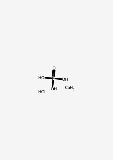 Cl.O=P(O)(O)O.[CaH2]